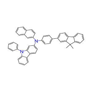 CC1(C)c2ccccc2-c2ccc(-c3ccc(N(c4ccc5ccccc5c4)c4ccc5c6ccccc6n(-c6ccccc6)c5c4)cc3)cc21